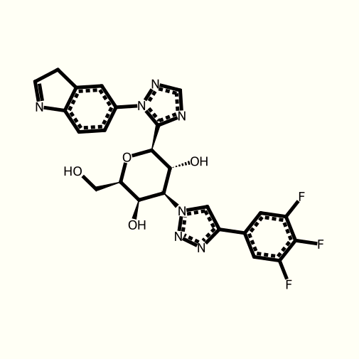 OC[C@H]1O[C@@H](c2ncnn2-c2ccc3c(c2)CC=N3)[C@H](O)[C@@H](n2cc(-c3cc(F)c(F)c(F)c3)nn2)[C@H]1O